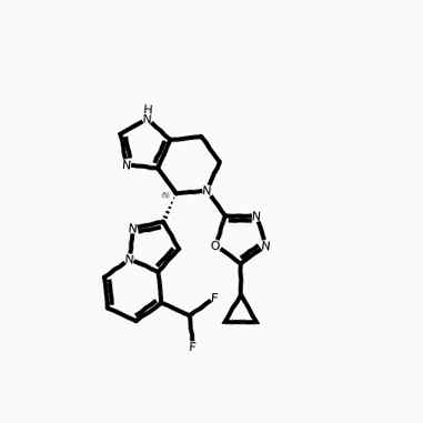 FC(F)c1cccn2nc([C@@H]3c4nc[nH]c4CCN3c3nnc(C4CC4)o3)cc12